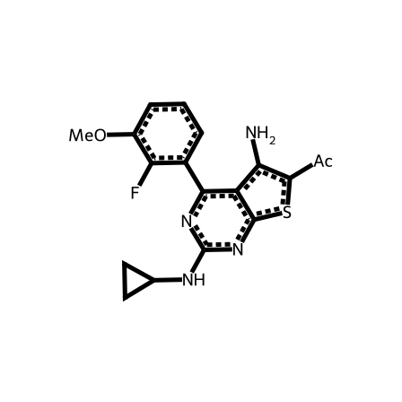 COc1cccc(-c2nc(NC3CC3)nc3sc(C(C)=O)c(N)c23)c1F